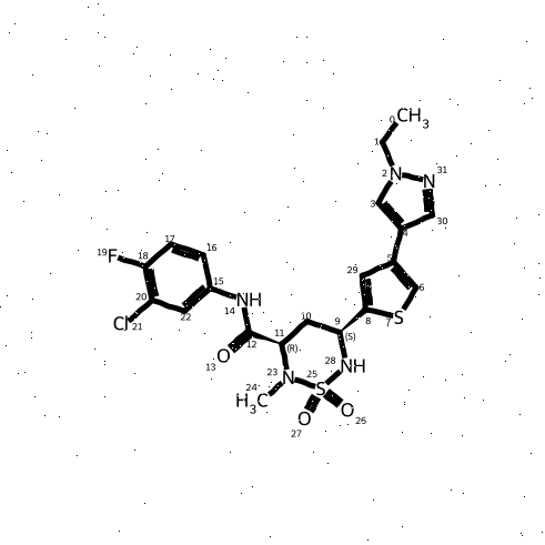 CCn1cc(-c2csc([C@@H]3C[C@H](C(=O)Nc4ccc(F)c(Cl)c4)N(C)S(=O)(=O)N3)c2)cn1